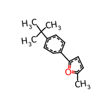 Cc1ccc(-c2ccc(C(C)(C)C)cc2)o1